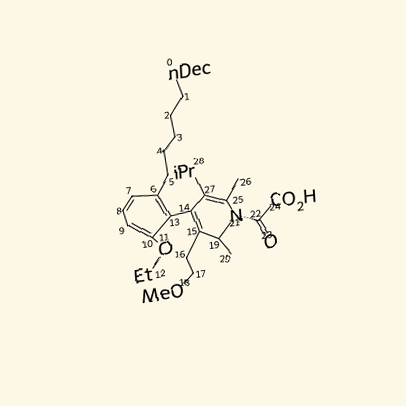 CCCCCCCCCCCCCCCc1cccc(OCC)c1C1=C(CCOC)C(C)N(C(=O)C(=O)O)C(C)=C1C(C)C